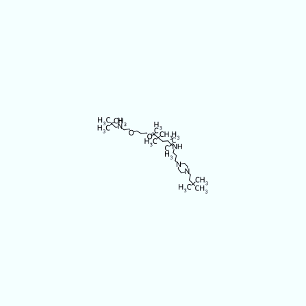 C[C@@H](OCCCOCCNCC(C)(C)C)C(C)(C)CCC(C)(C)NCCCN1CCN(CCC(C)(C)C)CC1